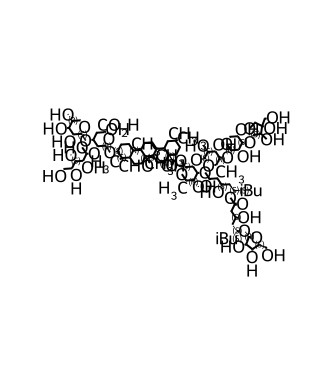 CC[C@H](C)[C@H](C[C@H](O)CC(=O)OC1C(O[C@@H]2OC(C)[C@H](O[C@H]3OCC(O)[C@H](O[C@@H]4OCC(O)(CO)C4O)C3O)C(O)[C@@H]2O)[C@H](OC(=O)[C@]23CCC(C)(C)CC2C2=CCC4[C@@]5(C)CC[C@H](O[C@@H]6OC(O)(C(=O)O)CC(O[C@@H]7OC[C@@H](O)C(O)C7O)C6OC(O)C(O)[C@@H](O)C(O)CO)[C@@](C)(C=O)C5CC[C@@]4(C)[C@]2(C)C[C@H]3O)OC(C)[C@H]1O)OC(=O)C[C@@H](O)C[C@H](O[C@@H]1O[C@@H](CO)C(O)C1O)[C@@H](C)CC